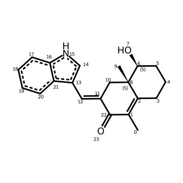 CC1=C2CCC[C@H](O)[C@@]2(C)CC(=Cc2c[nH]c3ccccc23)C1=O